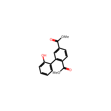 COC(=O)c1ccc(C(=O)OC)c(-c2ccccc2O)c1